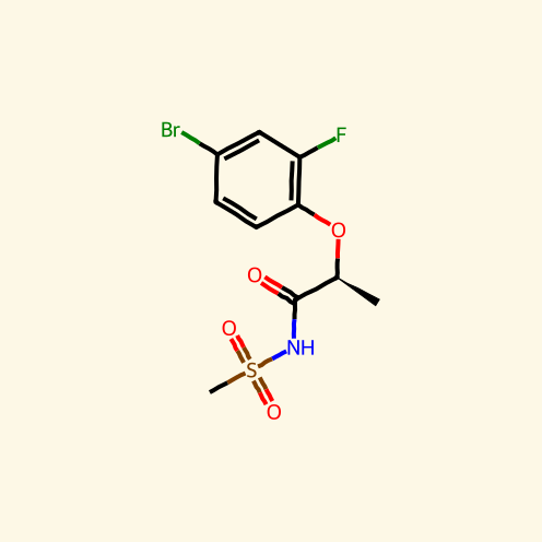 C[C@H](Oc1ccc(Br)cc1F)C(=O)NS(C)(=O)=O